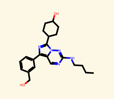 CCCCNc1ncc2c(-c3cccc(CO)c3)nc(C3CCC(O)CC3)n2n1